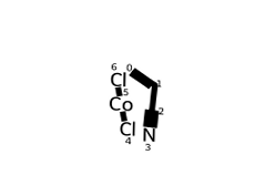 C=CC#N.[Cl][Co][Cl]